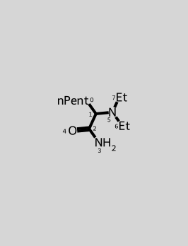 CCCCCC(C(N)=O)N(CC)CC